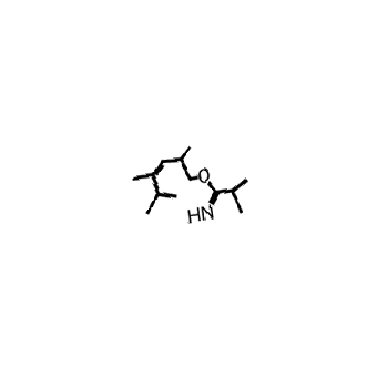 C/C(=C/C(C)COC(=N)C(C)C)C(C)C